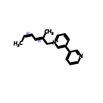 C/C=C\C=C(/C)C[n+]1cccc(-c2cccnc2)c1